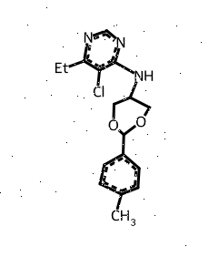 CCc1ncnc(NC2COC(c3ccc(C)cc3)OC2)c1Cl